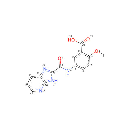 COc1ccc(NC(=O)c2nc3cccnc3[nH]2)cc1C(=O)O